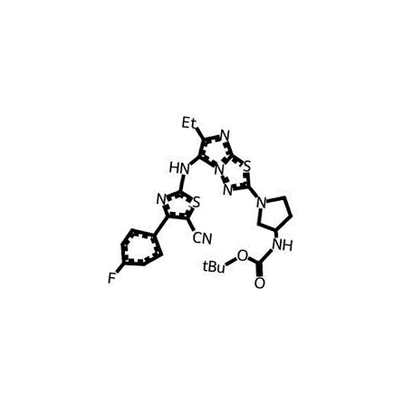 CCc1nc2sc(N3CCC(NC(=O)OC(C)(C)C)C3)nn2c1Nc1nc(-c2ccc(F)cc2)c(C#N)s1